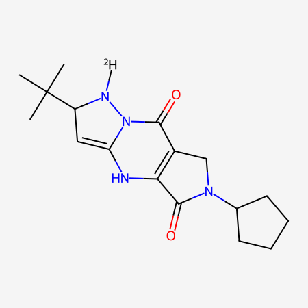 [2H]N1C(C(C)(C)C)C=C2NC3=C(CN(C4CCCC4)C3=O)C(=O)N21